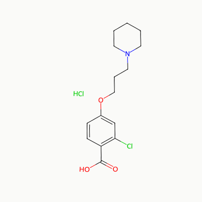 Cl.O=C(O)c1ccc(OCCCN2CCCCC2)cc1Cl